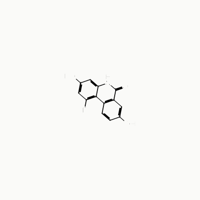 O=c1[nH]c2cc(O)cc(F)c2c2ccc(O)cc12